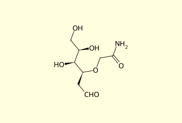 NC(=O)CO[C@@H](CC=O)[C@@H](O)[C@H](O)CO